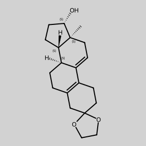 C[C@]12CC=C3C4=C(CC[C@H]3[C@@H]1CC[C@@H]2O)CC1(CC4)OCCO1